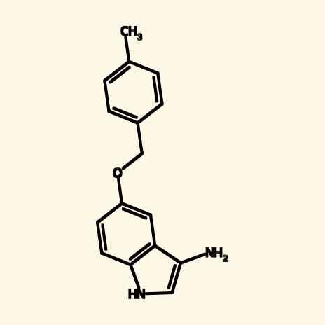 Cc1ccc(COc2ccc3[nH]cc(N)c3c2)cc1